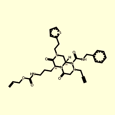 C#CCN1CC(=O)N2[C@@H](CCCNC(=O)OCC=C)C(=O)N(CCc3cccs3)C[C@@H]2N1C(=O)NCc1ccccc1